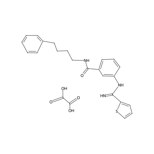 N=C(Nc1cccc(C(=O)NCCCCc2ccccc2)c1)c1cccs1.O=C(O)C(=O)O